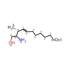 CCCCCCCCCCCCC/C=C/[C@@H](C)[C@@H](N)CO